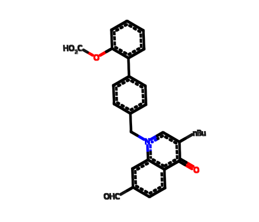 CCCCc1cn(Cc2ccc(-c3ccccc3OC(=O)O)cc2)c2cc(C=O)ccc2c1=O